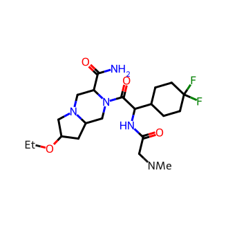 CCOC1CC2CN(C(=O)C(NC(=O)CNC)C3CCC(F)(F)CC3)C(C(N)=O)CN2C1